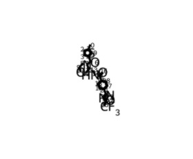 Cc1ccc(C(=O)N2CCOC[C@H]2CNC(=O)c2ccc(-c3noc(C(F)(F)F)n3)cc2)s1